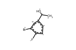 CC(O)c1ccc(F)c(Br)c1